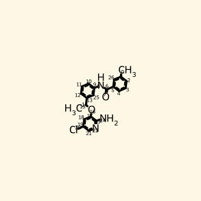 Cc1cccc(C(=O)Nc2cccc([C@@H](C)Oc3cc(Cl)cnc3N)c2)c1